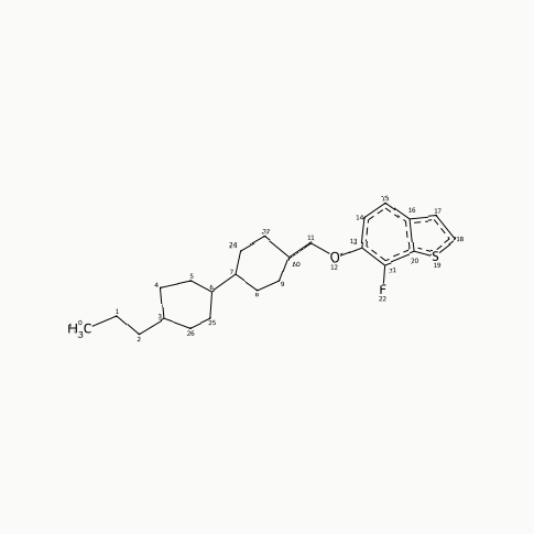 CCCC1CCC(C2CCC(COc3ccc4ccsc4c3F)CC2)CC1